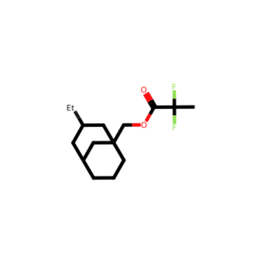 CCC1CC2CCCC(COC(=O)C(C)(F)F)(C1)C2